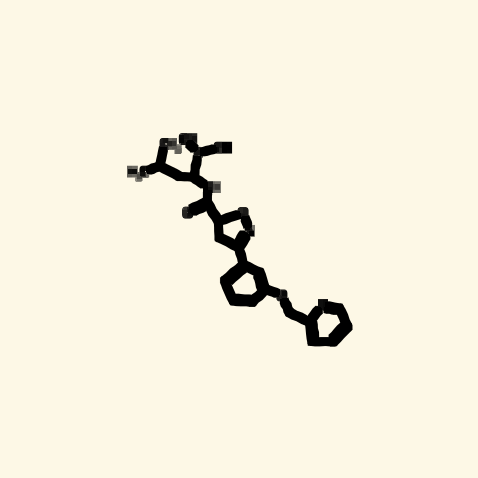 CC(C)CC(NC(=O)C1CC(c2cccc(OCc3ccccn3)c2)=NO1)B(O)O